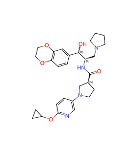 O=C(N[C@H](CN1CCCC1)[C@H](O)c1ccc2c(c1)OCCO2)[C@H]1CCN(c2ccc(OC3CC3)nc2)C1